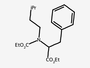 CCOC(=O)C(Cc1ccccc1)N(CCC(C)C)C(=O)OCC